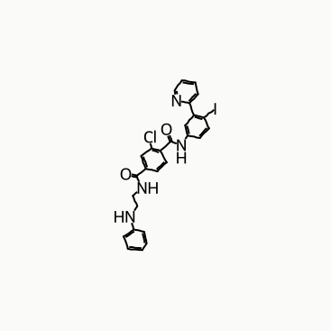 O=C(NCCNc1ccccc1)c1ccc(C(=O)Nc2ccc(I)c(-c3ccccn3)c2)c(Cl)c1